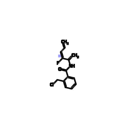 C=C/C=C(/F)C(=C)NC(=O)c1ccccc1CCl